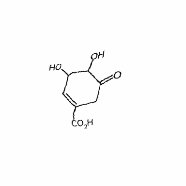 O=C(O)C1=CC(O)C(O)C(=O)C1